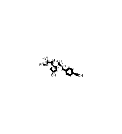 C#Cc1ccc(CNC(=C)[C@@H]2C[C@@H](O)CN2C(=O)[C@@H](NC(C)C)C(C)(C)C)cc1